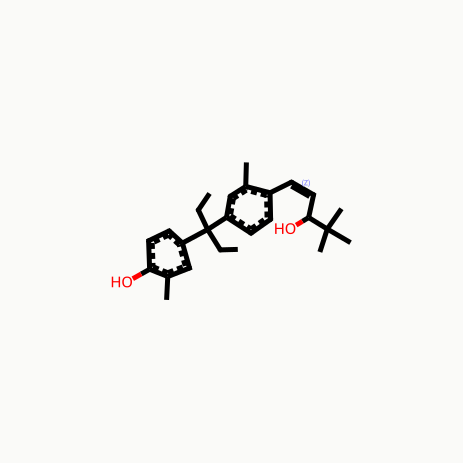 CCC(CC)(c1ccc(O)c(C)c1)c1ccc(/C=C\C(O)C(C)(C)C)c(C)c1